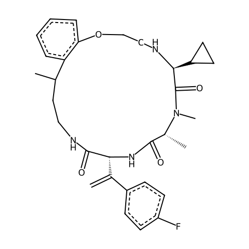 C=C(c1ccc(F)cc1)[C@H]1NC(=O)[C@@H](C)N(C)C(=O)[C@H](C2CC2)NCCOc2ccccc2C(C)CCNC1=O